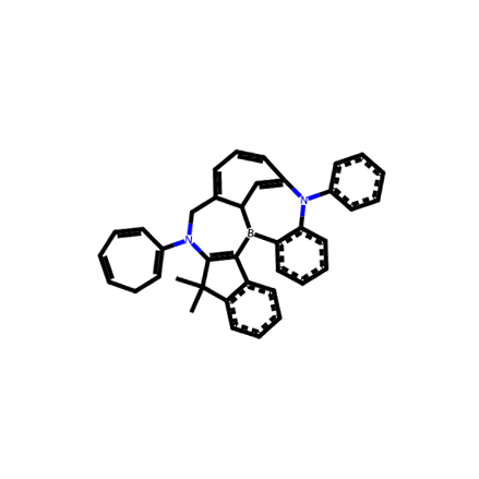 CC1(C)C2=C(B3c4ccccc4N(c4ccccc4)C4=CC3C(=CC=C4)CN2C2=CCC=CC=C2)c2ccccc21